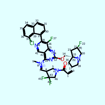 C=CC(=O)N1CC(/C=[N+](/C)c2nc(OC[C@@]34CCCN3C[C@H](F)C4)nc3c(F)c(-c4cccc5cccc(Cl)c45)ncc23)C(F)(F)C1